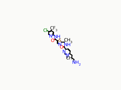 CC(NC(=O)C1C=CC(CCCN)N(C)C=N1)c1ncc(C(=O)Nc2cc(C(F)(F)F)c(Cl)cn2)s1